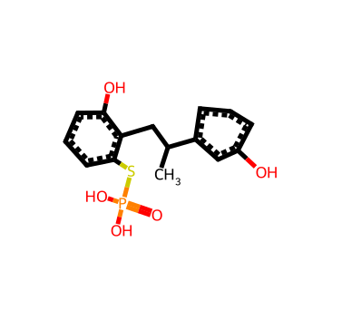 CC(Cc1c(O)cccc1SP(=O)(O)O)c1cccc(O)c1